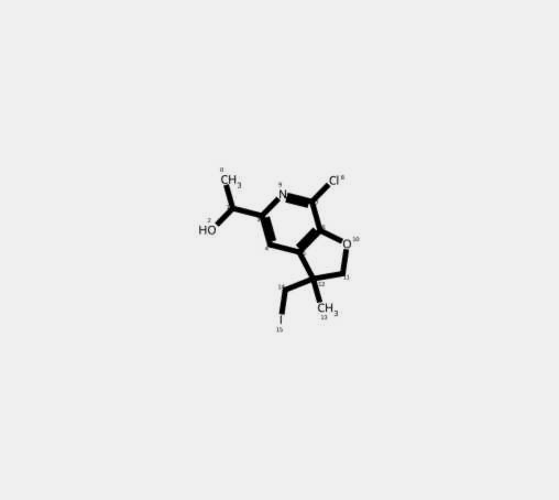 CC(O)c1cc2c(c(Cl)n1)OCC2(C)CI